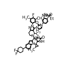 CCP(=O)(CC)c1ccc(-n2ccn(-c3c4c(nn3-c3cc(C)c(F)c(C)c3)CCN(C(=O)c3cc5cc(C6CCC(F)(F)CC6)ccc5n3C3(c5noc(=O)[nH]5)CC3C)C4C)c2=O)cc1NC